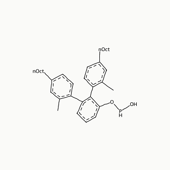 CCCCCCCCc1ccc(-c2cccc(OPO)c2-c2ccc(CCCCCCCC)cc2C)c(C)c1